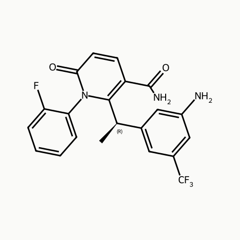 C[C@H](c1cc(N)cc(C(F)(F)F)c1)c1c(C(N)=O)ccc(=O)n1-c1ccccc1F